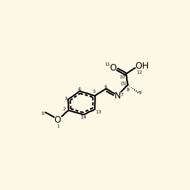 COc1ccc(C=N[C@@H](C)C(=O)O)cc1